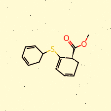 COC(=O)[C@H]1CC=CC=C1SC1C=CC=CC1